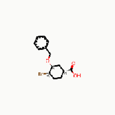 O=C(O)[C@@H]1CC[C@@H](Br)[C@H](OCc2ccccc2)C1